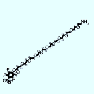 NCCOCCOCCOCCOCCOCCOCCOCCOCCOCCOCCC(=O)Oc1c(F)c(F)c([SH](=O)=O)c(F)c1F